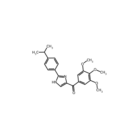 COc1cc(C(=O)c2c[nH]c(-c3ccc(C(C)C)cc3)n2)cc(OC)c1OC